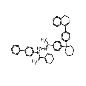 C=C(C1=CCCC=C1)N(N/N=C(\C)c1ccc(C2(c3ccc(C4=CCCc5ccccc54)cc3)CCCCC2)cc1)c1ccc(-c2ccccc2)cc1